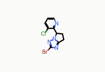 Clc1cccnc1C1CCc2nc(Br)nn21